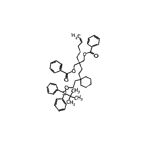 C=CCCCC(CCC1(CCO[Si](c2ccccc2)(c2ccccc2)C(C)(C)C)CCCCC1)(COC(=O)c1ccccc1)COC(=O)c1ccccc1